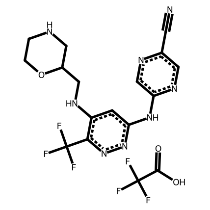 N#Cc1cnc(Nc2cc(NCC3CNCCO3)c(C(F)(F)F)nn2)cn1.O=C(O)C(F)(F)F